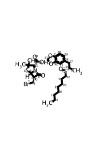 CC1(C)S[C@@H]2[C@H](CBr)C(=O)N2[C@H]1C(=O)O.CCCCCCCC[S+]([O-])C(C)Cc1ccc2c(c1)OCO2